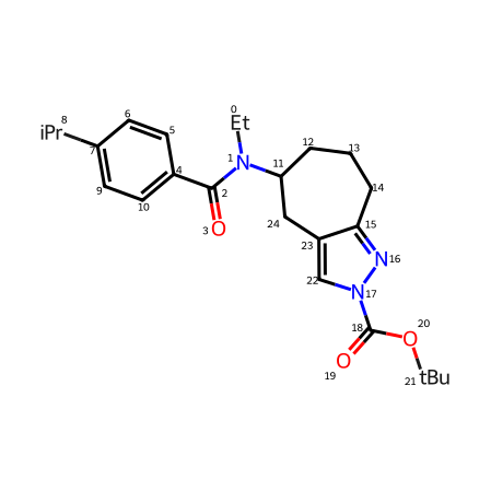 CCN(C(=O)c1ccc(C(C)C)cc1)C1CCCc2nn(C(=O)OC(C)(C)C)cc2C1